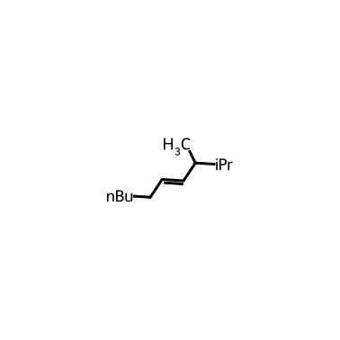 CCCCC/C=C/C(C)C(C)C